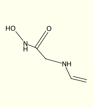 C=CNCC(=O)NO